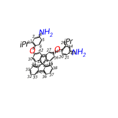 CC(C)c1cc(N)ccc1Oc1ccc(C2(c3ccc(Oc4ccc(N)cc4C(C)C)cc3)c3ccccc3-c3ccccc32)cc1